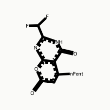 CCCCCc1cc(=O)oc2nc(C(F)F)[nH]c(=O)c12